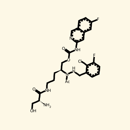 CC(=O)N(NCc1cccc(F)c1Cl)[C@@H](CCCNC(=O)[C@H](N)CO)COC(=O)Nc1cc2cc(F)ccc2cn1